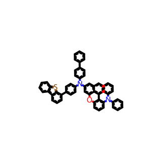 c1ccc(-c2ccc(N(c3ccc(-c4cccc5c4sc4ccccc45)cc3)c3cc4c5c(cccc5c3)-c3c(cccc3N(c3ccccc3)c3ccccc3)O4)cc2)cc1